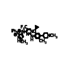 Cc1cc(Nc2ncc(C(F)(F)F)c(NC3=CN(C)NC3S(=O)(=O)C(C)C)n2)c(OC2CC2)cc1C1CCN(C)CC1